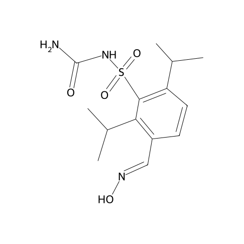 CC(C)c1ccc(C=NO)c(C(C)C)c1S(=O)(=O)NC(N)=O